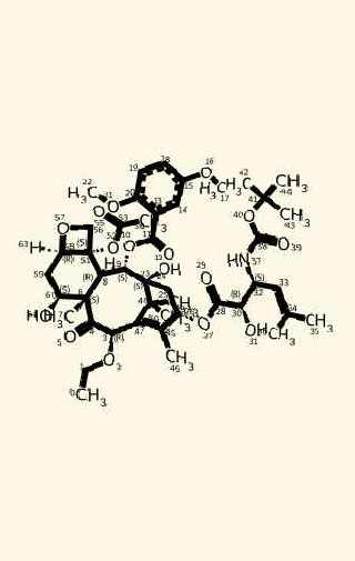 CCO[C@H]1C(=O)[C@@]2(C)[C@H]([C@H](OC(=O)c3cc(OC)ccc3OC)[C@]3(O)C[C@H](OC(=O)[C@H](O)[C@H](C=C(C)C)NC(=O)OC(C)(C)C)C(C)=C1C3(C)C)[C@]1(OC(C)=O)CO[C@@H]1C[C@@H]2O